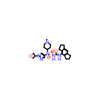 CN1CCC(N(c2cnn(C3COC3)c2)S(=O)(=O)NC(=O)Nc2c3c(cc4c2CCC4)CCC3)CC1